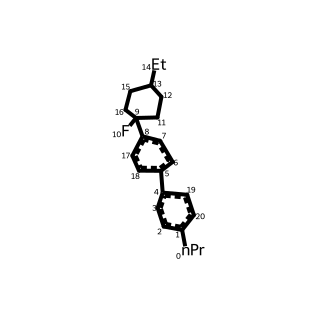 CCCc1ccc(-c2ccc(C3(F)CCC(CC)CC3)cc2)cc1